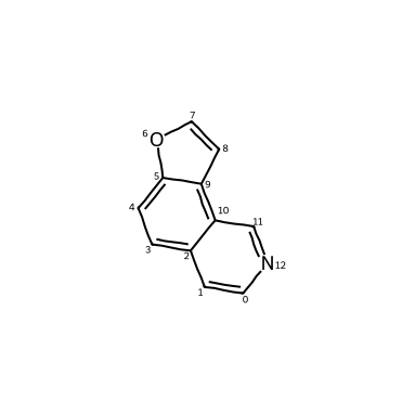 c1cc2ccc3occc3c2cn1